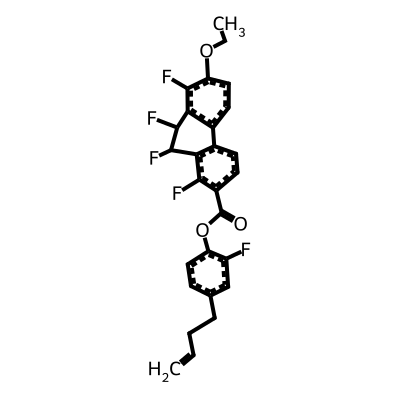 C=CCCc1ccc(OC(=O)c2ccc3c(c2F)C(F)C(F)c2c-3ccc(OCC)c2F)c(F)c1